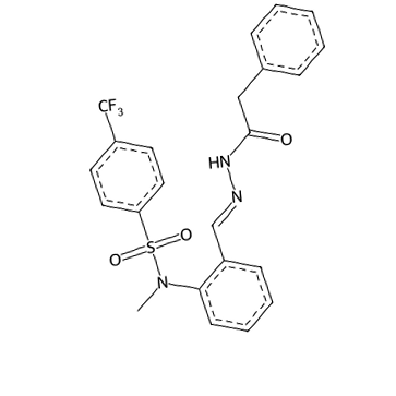 CN(c1ccccc1/C=N/NC(=O)Cc1ccccc1)S(=O)(=O)c1ccc(C(F)(F)F)cc1